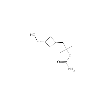 CC(C)(C[C@H]1C[C@H](CO)C1)OC(N)=O